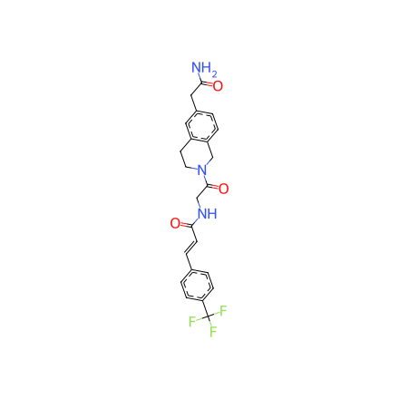 NC(=O)Cc1ccc2c(c1)CCN(C(=O)CNC(=O)/C=C/c1ccc(C(F)(F)F)cc1)C2